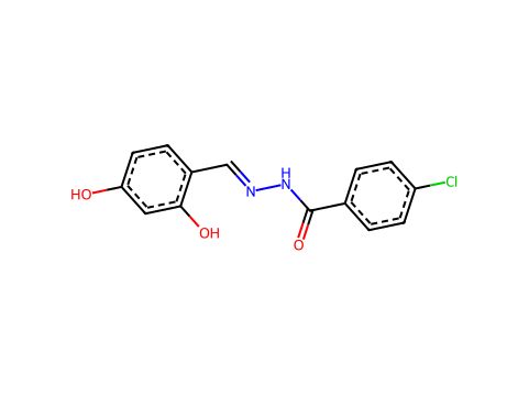 O=C(NN=Cc1ccc(O)cc1O)c1ccc(Cl)cc1